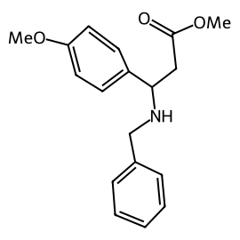 COC(=O)CC(NCc1ccccc1)c1ccc(OC)cc1